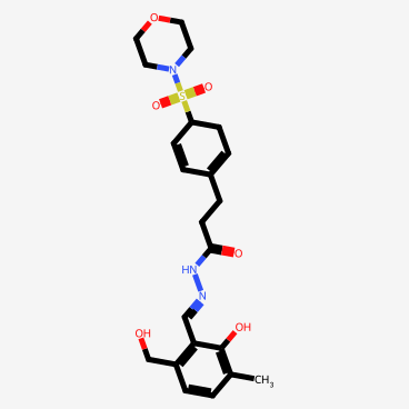 Cc1ccc(CO)c(/C=N/NC(=O)CCC2=CCC(S(=O)(=O)N3CCOCC3)C=C2)c1O